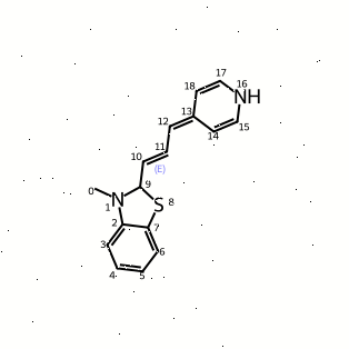 CN1c2ccccc2SC1/C=C/C=C1C=CNC=C1